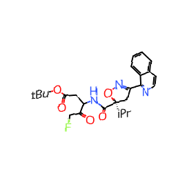 CC(C)[C@@]1(C(=O)NC(CC(=O)OC(C)(C)C)C(=O)CF)CC(c2nccc3ccccc23)=NO1